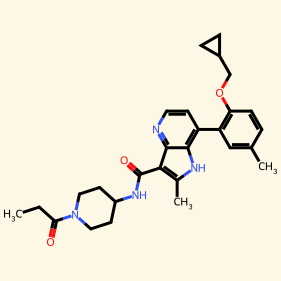 CCC(=O)N1CCC(NC(=O)c2c(C)[nH]c3c(-c4cc(C)ccc4OCC4CC4)ccnc23)CC1